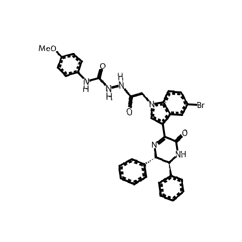 COc1ccc(NC(=O)NNC(=O)Cn2cc(C3=N[C@@H](c4ccccc4)[C@H](c4ccccc4)NC3=O)c3cc(Br)ccc32)cc1